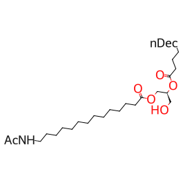 CCCCCCCCCCCCCC(=O)O[C@@H](CO)COC(=O)CCCCCCCCCCCCCNC(C)=O